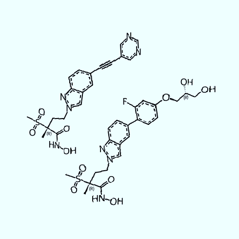 C[C@@](CCn1cc2cc(-c3ccc(OC[C@H](O)CO)cc3F)ccc2n1)(C(=O)NO)S(C)(=O)=O.C[C@@](CCn1cc2cc(C#Cc3cncnc3)ccc2n1)(C(=O)NO)S(C)(=O)=O